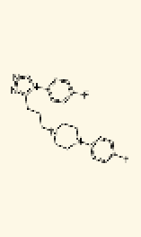 Fc1ccc(N2CCN(CCCc3nncn3-c3ccc(F)cc3)CC2)cc1